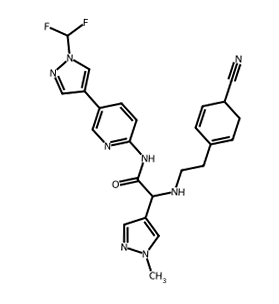 Cn1cc(C(NCCC2=CCC(C#N)C=C2)C(=O)Nc2ccc(-c3cnn(C(F)F)c3)cn2)cn1